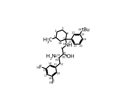 CC1CCCC(NC[C@@H](O)[C@@H](N)Cc2cc(F)cc(F)c2)(c2cccc(C(C)(C)C)c2)C1